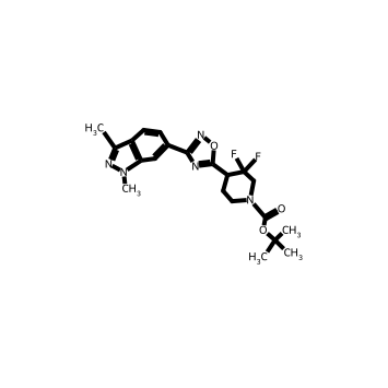 Cc1nn(C)c2cc(-c3noc(C4CCN(C(=O)OC(C)(C)C)CC4(F)F)n3)ccc12